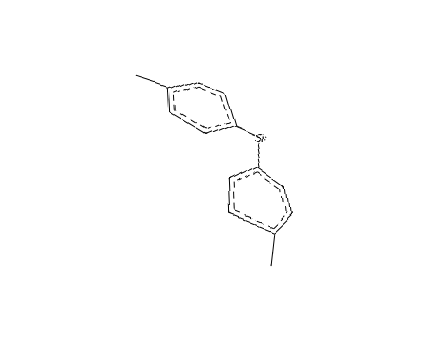 Cc1ccc([Si]c2ccc(C)cc2)cc1